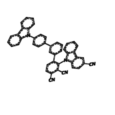 N#Cc1ccc2c(c1)c1ccccc1n2-c1c(-c2cccc(-c3ccc(-n4c5ccccc5c5ccccc54)cc3)c2)ccc(C#N)c1C#N